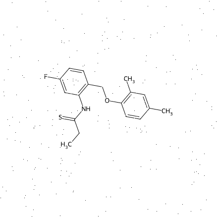 CCC(=S)Nc1cc(F)ccc1COc1ccc(C)cc1C